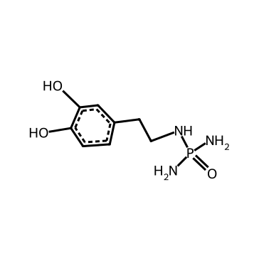 NP(N)(=O)NCCc1ccc(O)c(O)c1